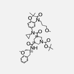 COCCCN1C(=O)C(C)(C)Oc2ccc(N(C(=O)[C@@H]3C[C@H](C(=O)N[C@H](COC)Cc4ccccc4)CN(C(=O)OC(C)(C)C)C3)C3CC3)cc21